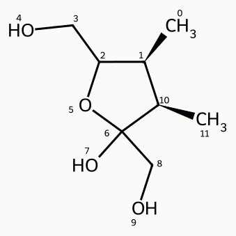 C[C@@H]1C(CO)OC(O)(CO)[C@@H]1C